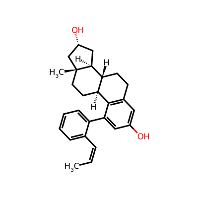 C/C=C\c1ccccc1-c1cc(O)cc2c1[C@H]1CC[C@]3(C)C[C@H](O)C[C@H]3[C@@H]1CC2